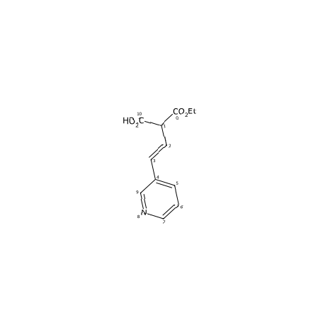 CCOC(=O)C(C=Cc1cccnc1)C(=O)O